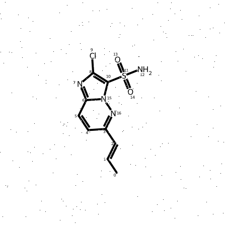 CC=Cc1ccc2nc(Cl)c(S(N)(=O)=O)n2n1